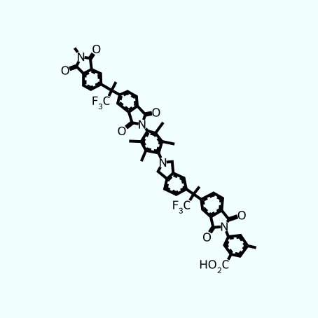 Cc1cc(C(=O)O)cc(N2C(=O)c3ccc(C(C)(c4ccc5c(c4)CN(c4c(C)c(C)c(N6C(=O)c7ccc(C(C)(c8ccc9c(c8)C(=O)N(C)C9=O)C(F)(F)F)cc7C6=O)c(C)c4C)C5)C(F)(F)F)cc3C2=O)c1